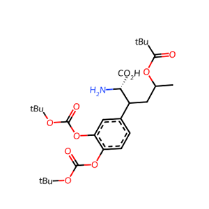 CC(CC(c1ccc(OC(=O)OC(C)(C)C)c(OC(=O)OC(C)(C)C)c1)[C@H](N)C(=O)O)OC(=O)C(C)(C)C